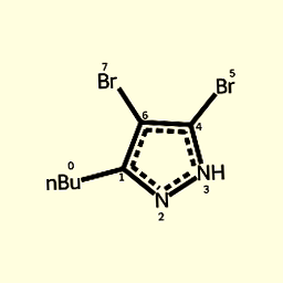 CCCCc1n[nH]c(Br)c1Br